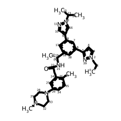 CCn1ccc(-c2cc(-c3cnn(C(C)C)c3)cc([C@@H](C)NC(=O)c3cc(N4CCN(C)CC4)ccc3C)c2)n1